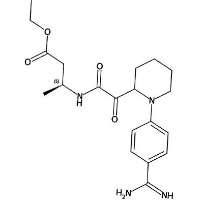 CCOC(=O)C[C@H](C)NC(=O)C(=O)C1CCCCN1c1ccc(C(=N)N)cc1